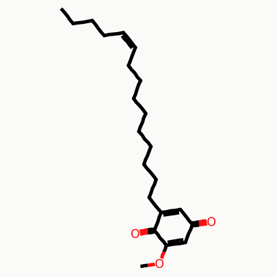 CCCC/C=C\CCCCCCCCCC1=CC(=O)C=C(OC)C1=O